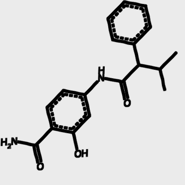 CC(C)C(C(=O)Nc1ccc(C(N)=O)c(O)c1)c1ccccc1